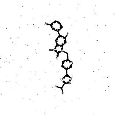 Cn1c(=O)n(Cc2ccc(-c3nnc(C(F)F)o3)cn2)c2cc(F)c(-c3cccc(F)c3)cc21